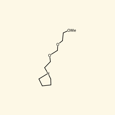 COCCOCOCCN1CCCC1